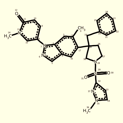 Cc1cc2c(cnn2-c2ccc(=O)n(C)c2)cc1C1(Cc2ccccc2)CCN(S(=O)(=O)c2ccn(C)n2)C1